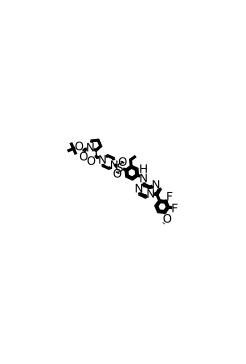 CCc1cc(Nc2nccn3c(-c4ccc(OC)c(F)c4F)cnc23)ccc1S(=O)(=O)N1CCN(C(=O)[C@@H]2CCCN2C(=O)OC(C)(C)C)CC1